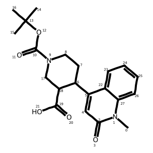 Cn1c(=O)cc(C2CCN(C(=O)OC(C)(C)C)CC2C(=O)O)c2ccccc21